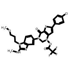 CNc1nc2cc(N3CN(OC(=O)C(F)(F)F)c4cc(-c5ccc(Cl)cc5)sc4C3=O)ccc2n1CCCOC